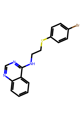 Brc1ccc(SCCNc2ncnc3ccccc23)cc1